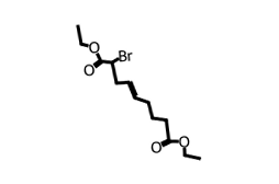 CCOC(=O)CCC/C=C/CC(Br)C(=O)OCC